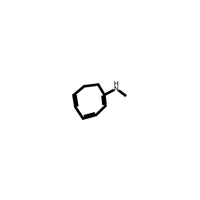 CNC1=CC=CC=CCC1